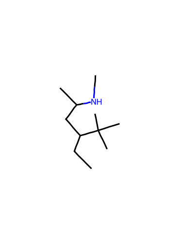 CCC(CC(C)NC)C(C)(C)C